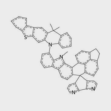 Cn1c2c(N3c4ccccc4C(C)(C)c4cc5c(cc43)sc3ccccc35)cccc2c2ccc3c(c21)-c1ccc2c4c(ccc(c14)C31c3cccnc3-c3ncccc31)CC2